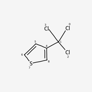 ClC(Cl)(Cl)c1ccsc1